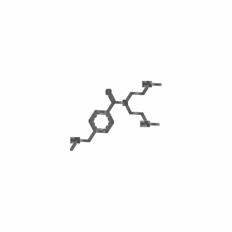 CNCCN(CCNC)C(=O)c1ccc(CNC)cc1